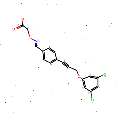 O=C(O)CO/N=C/c1ccc(C#CCOc2cc(Cl)cc(Cl)c2)cc1